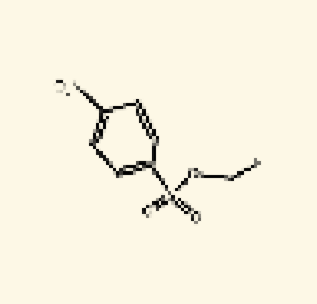 O=[N+]([O-])c1ccc(S(=O)(=O)OCF)cc1